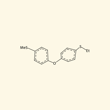 CCSc1ccc(Oc2ccc(SC)cc2)cc1